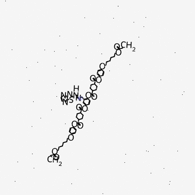 C=CC(=O)OCCCCCCOc1ccc(OC(=O)C2CCC(C(=O)Oc3ccc(OC(=O)C4CCC(C(=O)Oc5ccc(OCCCCCCOC(=O)C=C)cc5)CC4)c(/C=N/Nc4nc5nccnc5s4)c3)CC2)cc1